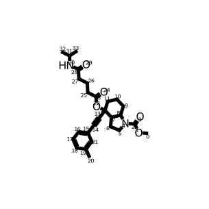 COC(=O)N1CCC2C1CCCC2(C#Cc1cccc(C)c1)OC(=O)CCCC(=O)NC(C)C